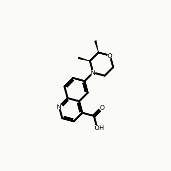 C[C@H]1OCCN(c2ccc3nccc(C(=O)O)c3c2)[C@H]1C